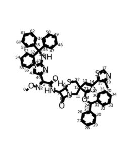 CON=C(C(=O)NC1C(=O)N2CC(C=Cc3scnc3C)(C(=O)OC(c3ccccc3)c3ccccc3)CS[C@H]12)c1csc(NC(c2ccccc2)(c2ccccc2)c2ccccc2)n1